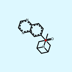 CN1CC2CC(C1)N2C(=O)c1ccc2nccnc2c1